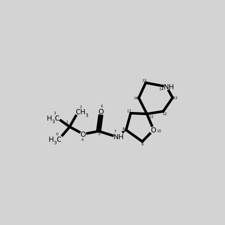 CC(C)(C)OC(=O)N[C@H]1COC2(CCNCC2)C1